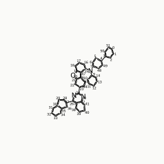 c1ccc(-c2ccc(N(c3ccccc3)c3cccc4oc5cc(-c6nc(-c7ccc8ccccc8c7)c7ccccc7n6)ccc5c34)cc2)cc1